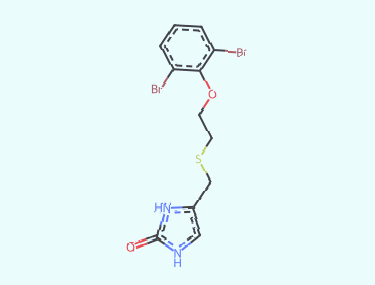 O=c1[nH]cc(CSCCOc2c(Br)cccc2Br)[nH]1